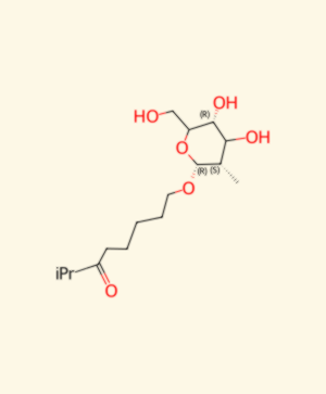 CC(C)C(=O)CCCCCO[C@@H]1OC(CO)[C@H](O)C(O)[C@@H]1C